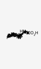 CN(C[C@H]1CN[C@@H](C#Cc2cc3c(Nc4ccc5c(cnn5Cc5cccc(F)c5)c4)ncnc3s2)C1)C(=O)O